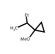 CCC(C)C1(OC)CC1